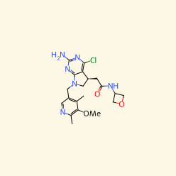 COc1c(C)ncc(CN2C[C@H](CC(=O)NC3COC3)c3c(Cl)nc(N)nc32)c1C